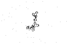 CC1(C)c2ccccc2-c2cc3c4ccccc4c4cc(-c5ccc(-c6ccc7c8ccccc8c8cccnc8c7n6)cn5)ccc4c3nc21